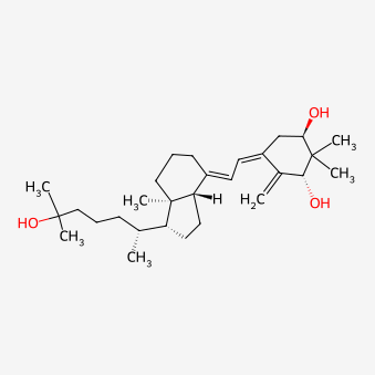 C=C1/C(=C\C=C2/CCC[C@]3(C)[C@@H]([C@H](C)CCCC(C)(C)O)CC[C@@H]23)C[C@@H](O)C(C)(C)[C@@H]1O